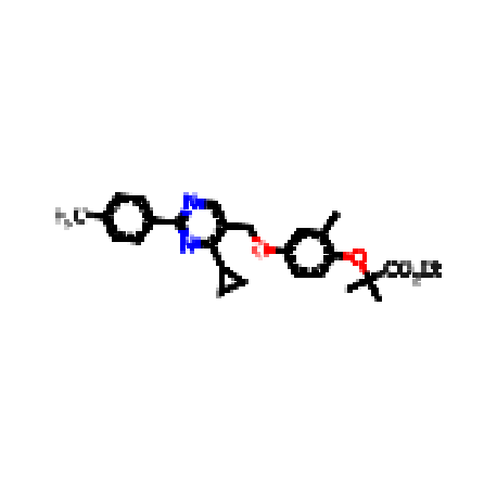 CCOC(=O)C(C)(C)Oc1ccc(OCc2cnc(-c3ccc(C(F)(F)F)cc3)nc2C2CC2)cc1C